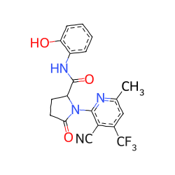 Cc1cc(C(F)(F)F)c(C#N)c(N2C(=O)CCC2C(=O)Nc2ccccc2O)n1